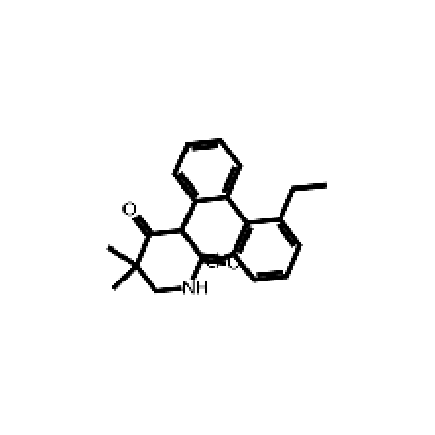 CCc1cccc(Cl)c1-c1ccccc1C1C(=O)NCC(C)(C)C1=O